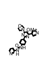 COc1c(-c2ccncc2)nc(-c2ccc(NC(=O)Nc3cccnc3)cc2)nc1N1CCOCC1